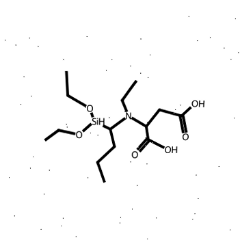 CCCC(N(CC)C(CC(=O)O)C(=O)O)[SiH](OCC)OCC